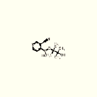 CC(C)(O)C(C)(C)OB(O)c1ccncc1C#N